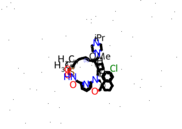 CO[C@@]1(CN2CCN(C(C)C)CC2)/C=C/C[C@H](C)[C@@H](C)S(=O)(=O)NC(=O)c2ccc3c(n2)N(C[C@@H]2CC[C@H]21)C[C@@]1(CCCc2cc(Cl)ccc21)CO3